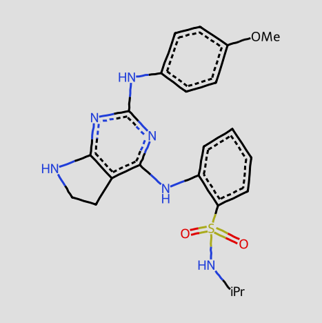 COc1ccc(Nc2nc3c(c(Nc4ccccc4S(=O)(=O)NC(C)C)n2)CCN3)cc1